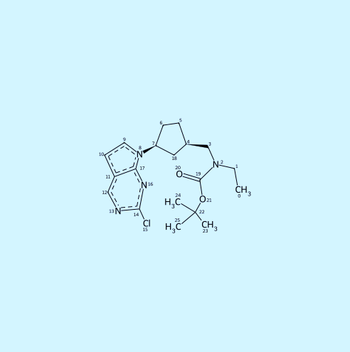 CCN(C[C@@H]1CC[C@H](n2ccc3cnc(Cl)nc32)C1)C(=O)OC(C)(C)C